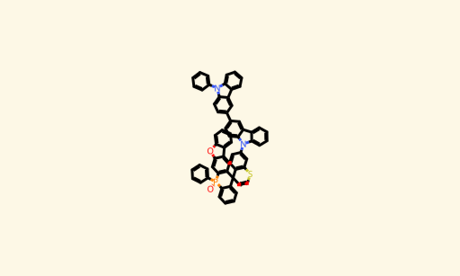 O=P1(c2ccccc2)c2ccccc2C2(c3ccccc3Sc3cc(-n4c5ccccc5c5cc(-c6ccc7c(c6)c6ccccc6n7-c6ccccc6)ccc54)ccc32)c2cc3c(cc21)oc1ccccc13